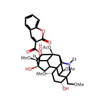 CCN1CC2(COC)C3[C@H](OC)C4C1C3(C1C[C@@]3(O)[C@H](OC(=O)c5cc6ccccc6oc5=O)C1[C@]4(OC(C)=O)[C@@H](O)[C@@H]3OC)[C@@H](OC)C[C@H]2O